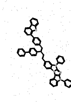 c1ccc(-c2ccc(C(CCc3ccc4c(c3)n(-c3ccccc3)c3nc5c(c6ccccc6n5-c5ccccc5)n43)Cc3ccc(-c4cccc5c4oc4ccccc45)cc3)cc2)cc1